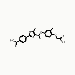 Cc1cc(OC(C)c2nc(-c3ccc(C(=O)O)cc3)oc2C)ccc1OCC(=O)O